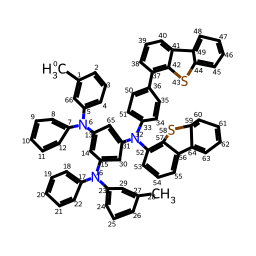 Cc1cccc(N(c2ccccc2)c2cc(N(c3ccccc3)c3cccc(C)c3)cc(N(c3ccc(-c4cccc5c4sc4ccccc45)cc3)c3cccc4c3sc3ccccc34)c2)c1